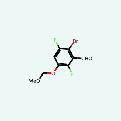 COCOc1cc(F)c(Br)c(C=O)c1F